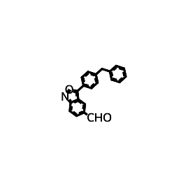 O=Cc1ccc2noc(-c3ccc(Cc4ccccc4)cc3)c2c1